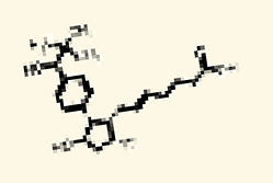 CC(C)(C)C(O)c1ccc([C@@H]2[C@@H](CC=CCCCC(=O)O)[C@H](Cl)C[C@H]2O)cc1